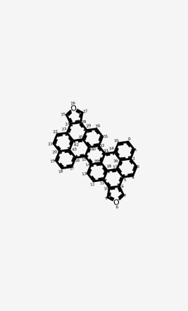 c1cc2ccc3c4cocc4c4ccc5c6c7cccc8ccc9c%10cocc%10c%10ccc(c%11c(c1)c2c3c4c5%11)c6c%10c9c87